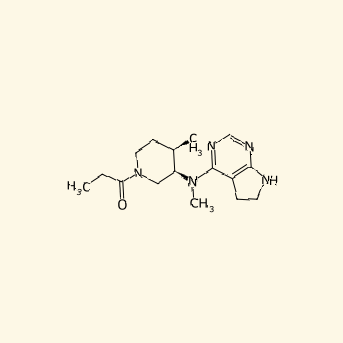 CCC(=O)N1CC[C@@H](C)[C@@H](N(C)c2ncnc3c2CCN3)C1